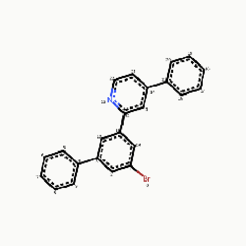 Brc1cc(-c2ccccc2)cc(-c2cc(-c3ccccc3)ccn2)c1